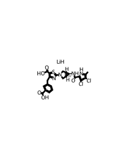 Cc1[nH]c(C(=O)N[C@H]2[C@@H]3CN(c4nc(Cc5cccc(C(=O)O)c5)c(C(=O)O)s4)C[C@@H]32)c(Cl)c1Cl.[LiH]